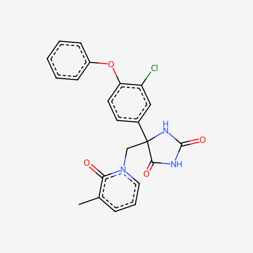 Cc1cccn(CC2(c3ccc(Oc4ccccc4)c(Cl)c3)NC(=O)NC2=O)c1=O